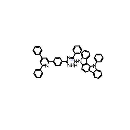 N=C(/N=C(\Nn1c2ccccc2c2c1ccc1c3ccccc3n(-c3ccccc3)c12)c1ccccc1)c1ccc(-c2cc(-c3ccccc3)cc(-c3ccccc3)n2)cc1